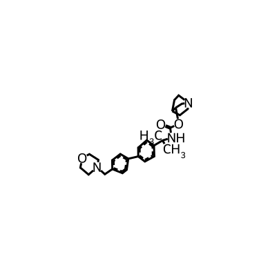 CC(C)(NC(=O)OC1CN2CCC1CC2)c1ccc(-c2ccc(CN3CCOCC3)cc2)cc1